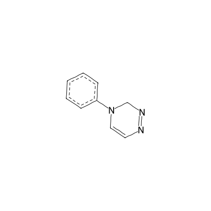 C1=CN(c2ccccc2)CN=N1